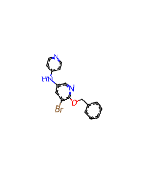 Brc1cc(Nc2ccncc2)cnc1OCc1ccccc1